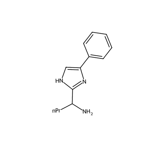 CCCC(N)c1nc(-c2ccccc2)c[nH]1